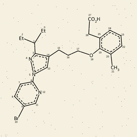 CCC(CC)c1nn(-c2ccc(Br)cn2)cc1CCCOc1c(C)cccc1CC(=O)O